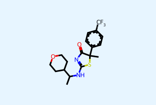 CC(NC1=NC(=O)C(C)(c2ccc(C(F)(F)F)cc2)S1)C1CCOCC1